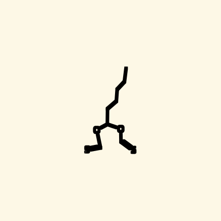 CCCCCC(OC=S)OC=S